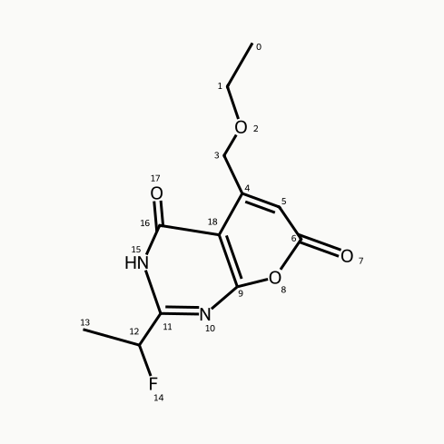 CCOCc1cc(=O)oc2nc(C(C)F)[nH]c(=O)c12